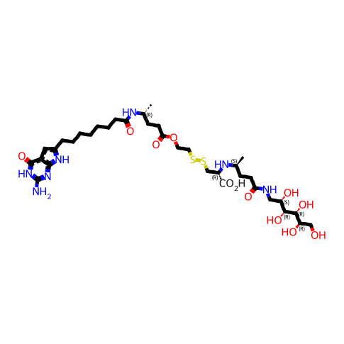 C[C@H](CCC(=O)OCCSSC[C@H](N[C@@H](C)CCC(=O)NC[C@H](O)[C@@H](O)[C@H](O)[C@H](O)CO)C(=O)O)NC(=O)CCCCCCCc1cc2c(=O)[nH]c(N)nc2[nH]1